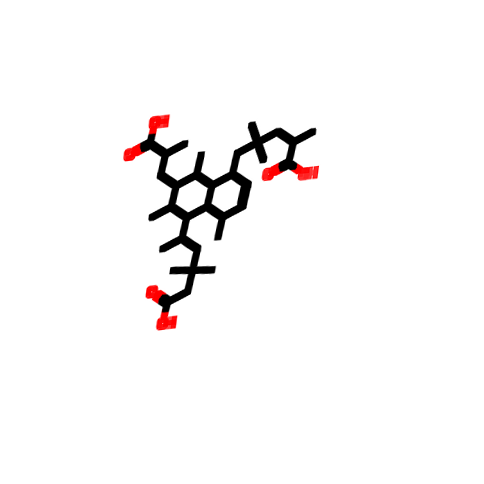 CC(CC1C(C)C(C(C)CC(C)(C)CC(=O)O)C2C(C)C=CC(CC(C)(C)CC(C)C(=O)O)C2C1C)C(=O)O